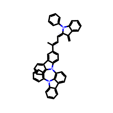 C=c1/c(=C\C=C(/C)c2ccc3c(c2)c2ccccc2n3-c2cccc3c4ccccc4n(-c4ccccc4)c23)n(-c2ccccc2)c2ccccc12